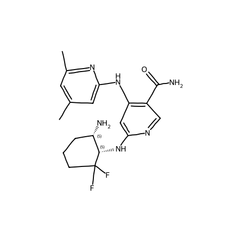 Cc1cc(C)nc(Nc2cc(N[C@H]3[C@@H](N)CCCC3(F)F)ncc2C(N)=O)c1